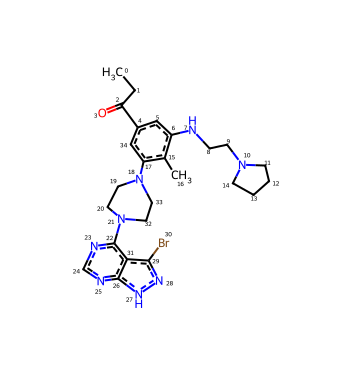 CCC(=O)c1cc(NCCN2CCCC2)c(C)c(N2CCN(c3ncnc4[nH]nc(Br)c34)CC2)c1